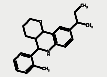 CCC(C)c1ccc2c(c1)C1OCCCC1C(c1ccccc1C)N2